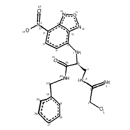 N=C(CCl)NC[C@H](Nc1ccc([N+](=O)[O-])c2nonc12)C(=O)NCc1ccccc1